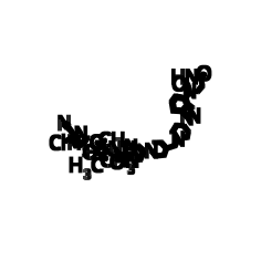 CC1(C)[C@H](NC(=O)c2ncc(N3CCC(CN4CCC(n5ncc6c(N7CCC(=O)NC7=O)cccc65)CC4)CC3)cn2)C(C)(C)[C@H]1Oc1cnc(C#N)c(Cl)c1